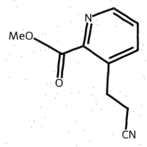 COC(=O)c1ncccc1CCC#N